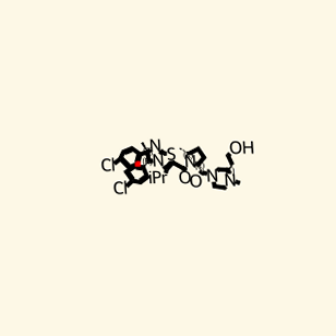 CC(C)C1=C(C(=O)N2[C@H](C)CC[C@@H]2C(=O)N2CCN(C)[C@@H](CCO)C2)SC2=N[C@@](C)(c3ccc(Cl)cc3)[C@@H](c3ccc(Cl)cc3)N21